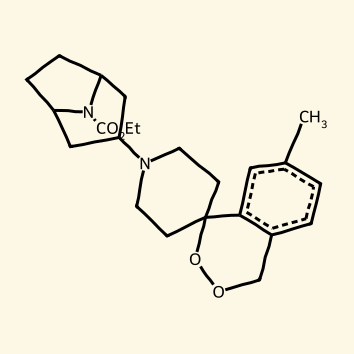 CCOC(=O)N1C2CCC1CC(N1CCC3(CC1)OOCc1ccc(C)cc13)C2